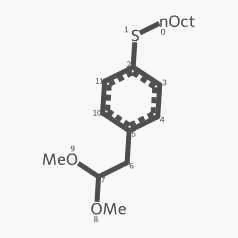 CCCCCCCCSc1ccc(CC(OC)OC)cc1